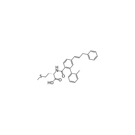 CSCC[C@H](NC(=O)c1ccc(C=CCc2ccccc2)cc1-c1ccccc1C)C(=O)O